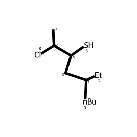 CCCCC(CC)CC(S)C(C)Cl